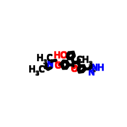 CC1=C(c2cccc(O)c2)C(c2ccc(OCC(C)N3CCC(C)C3)cc2)Oc2ccc(-c3c[nH]cn3)cc21